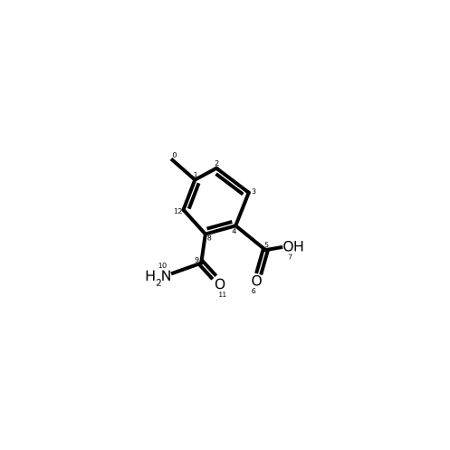 Cc1ccc(C(=O)O)c(C(N)=O)c1